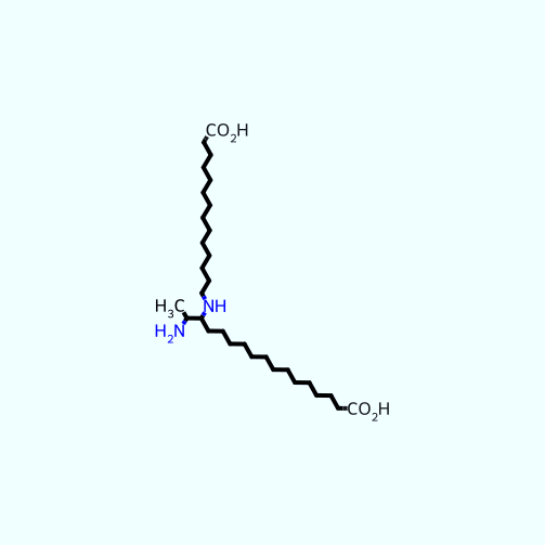 CC(N)C(CCCCCCCCCCCCCC(=O)O)NCCCCCCCCCCCCCC(=O)O